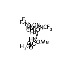 COc1ccc(S(C)(=O)=O)cc1NCC#Cc1cc(C(=O)N[C@H]2CCN(C(CF)CF)C[C@@H]2C)c2ncn(CC(F)(F)F)c2c1